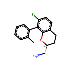 Cc1ccccc1-c1c(F)ccc2c1O[C@@H](CN)CC2